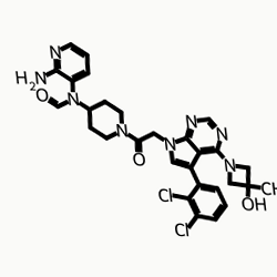 CC1(O)CN(c2ncnc3c2c(-c2cccc(Cl)c2Cl)cn3CC(=O)N2CCC(N(C=O)c3cccnc3N)CC2)C1